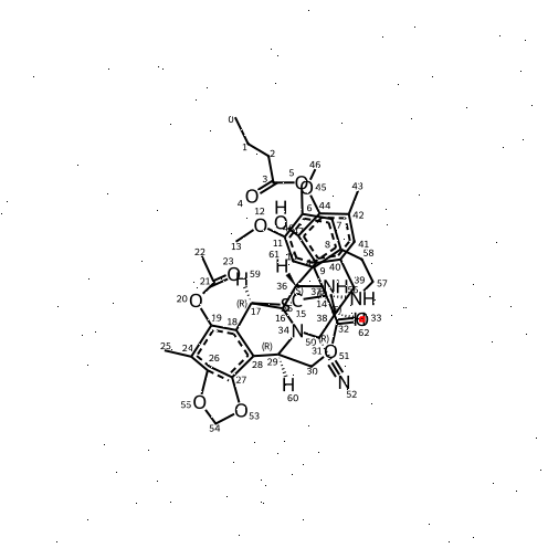 CCCC(=O)Oc1cc2c(cc1OC)[C@@]1(CS[C@@H]3c4c(OC(C)=O)c(C)c5c(c4[C@H](COC1=O)N1C3[C@H]3N[C@@H](Cc4cc(C)c(OC)c(O)c43)[C@@H]1C#N)OCO5)NCC2